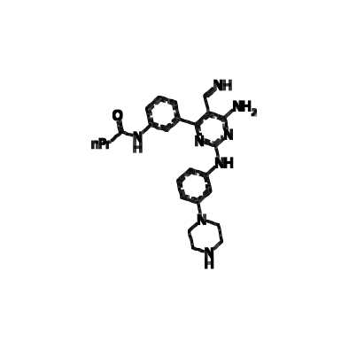 CCCC(=O)Nc1cccc(-c2nc(Nc3cccc(N4CCNCC4)c3)nc(N)c2C=N)c1